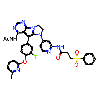 CC(=O)Nc1ncnc2c1c(-c1ccc(Oc3cccc(C)n3)c(F)c1)c1n2CCN1c1ccnc(NC(=O)CCS(=O)(=O)c2ccccc2)c1